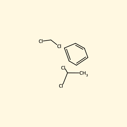 CC(Cl)Cl.ClCCl.c1ccccc1